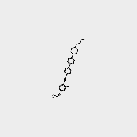 CCCCC1CCC(c2ccc(-c3ccc(C#Cc4ccc(N=C=S)cc4C)cc3)cc2)CC1